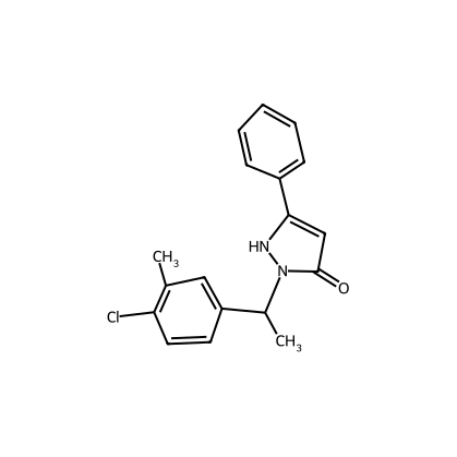 Cc1cc(C(C)n2[nH]c(-c3ccccc3)cc2=O)ccc1Cl